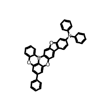 c1ccc(-c2cc3c4c(c2)Oc2cc5c(cc2B4c2ccccc2O3)oc2cc(N(c3ccccc3)c3ccccc3)ccc25)cc1